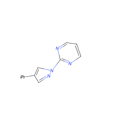 CC(C)c1cnn(-c2ncccn2)c1